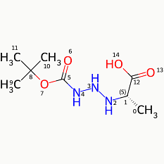 C[C@H](NNNC(=O)OC(C)(C)C)C(=O)O